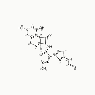 CO/N=C(\C(=O)NC1C(=O)N2C(C(=O)O)=C(CSC)CS[C@H]12)c1csc(NC=O)n1